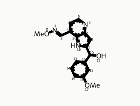 CON=Cc1ccnc2cc(C(O)c3cccc(OC)c3)[nH]c12